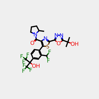 CC1CCCN1C(=O)c1nc(-c2nnc(C(C)(C)O)o2)sc1-c1ccc(C(O)(C(F)(F)F)C(F)(F)F)cc1C(F)F